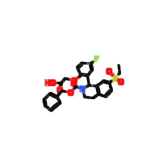 CCS(=O)(=O)c1ccc2c(c1)C(c1cc(F)ccc1OCC(=O)O)N(C(=O)OCc1ccccc1)CC2